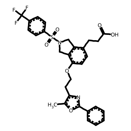 Cc1oc(-c2ccccc2)nc1CCOc1ccc(CCC(=O)O)c2c1CN(S(=O)(=O)c1ccc(C(F)(F)F)cc1)C2